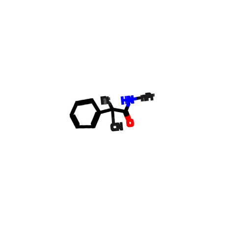 CCCNC(=O)C(C#N)(CC)c1ccccc1